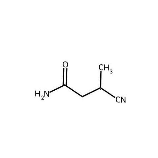 C[C](C#N)CC(N)=O